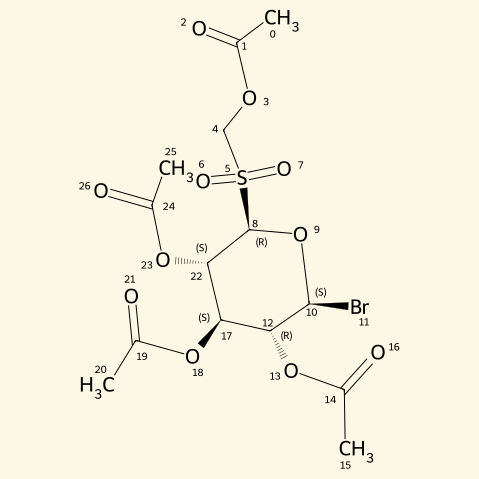 CC(=O)OCS(=O)(=O)[C@H]1O[C@@H](Br)[C@H](OC(C)=O)[C@@H](OC(C)=O)[C@@H]1OC(C)=O